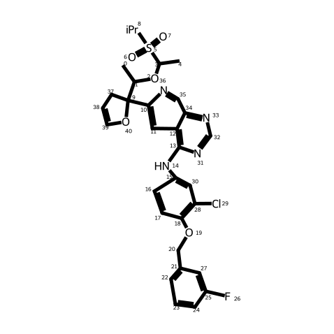 CC(OC(C)S(=O)(=O)C(C)C)C1(c2cc3c(Nc4ccc(OCc5cccc(F)c5)c(Cl)c4)ncnc3cn2)CC=CO1